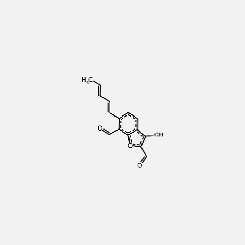 CC=CC=Cc1ccc2c(O)c(C=O)oc2c1C=O